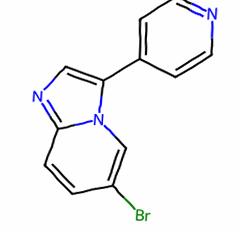 Brc1ccc2ncc(-c3ccncc3)n2c1